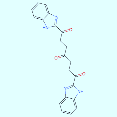 O=C(CCC(=O)c1nc2ccccc2[nH]1)CCC(=O)c1nc2ccccc2[nH]1